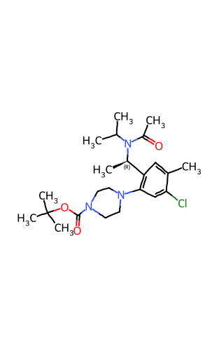 CC(=O)N(C(C)C)[C@H](C)c1cc(C)c(Cl)cc1N1CCN(C(=O)OC(C)(C)C)CC1